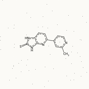 Cc1cc(-c2ccc3[nH]c(=S)[nH]c3n2)ccn1